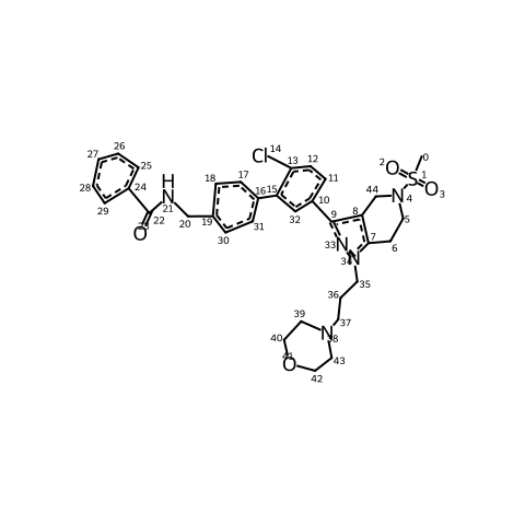 CS(=O)(=O)N1CCc2c(c(-c3ccc(Cl)c(-c4ccc(CNC(=O)c5ccccc5)cc4)c3)nn2CCCN2CCOCC2)C1